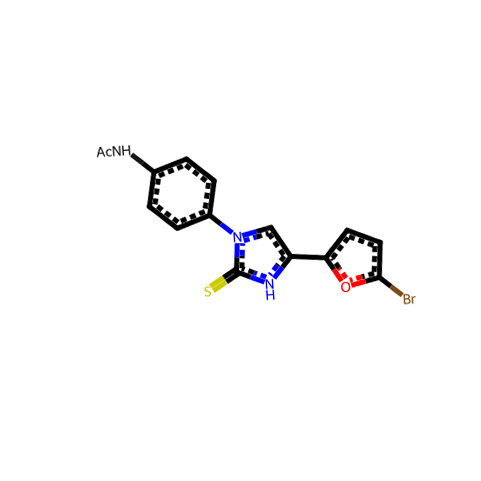 CC(=O)Nc1ccc(-n2cc(-c3ccc(Br)o3)[nH]c2=S)cc1